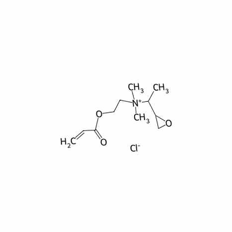 C=CC(=O)OCC[N+](C)(C)C(C)C1CO1.[Cl-]